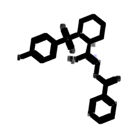 N/C(=N\OC(=O)c1cnccn1)[C@@H]1CCCCN1S(=O)(=O)c1ccc(F)cc1